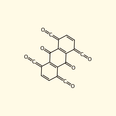 O=C=c1ccc(=C=O)c2c1C(=O)c1c(c(=C=O)ccc1=C=O)C2=O